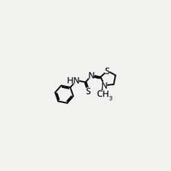 CN1CCS/C1=N/C(=S)Nc1ccccc1